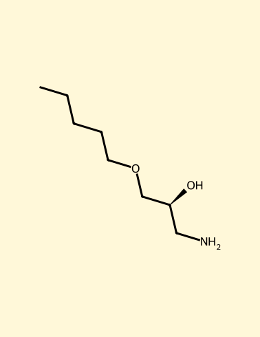 CCCCCOC[C@@H](O)CN